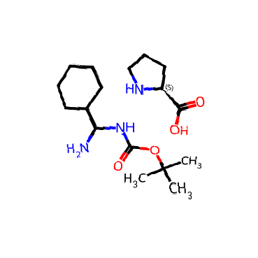 CC(C)(C)OC(=O)NC(N)C1CCCCC1.O=C(O)[C@@H]1CCCN1